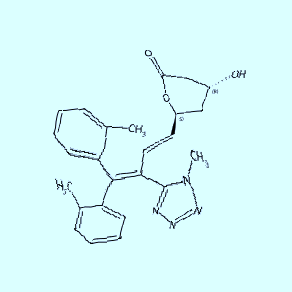 Cc1ccccc1C(=C(C=C[C@@H]1C[C@@H](O)CC(=O)O1)c1nnnn1C)c1ccccc1C